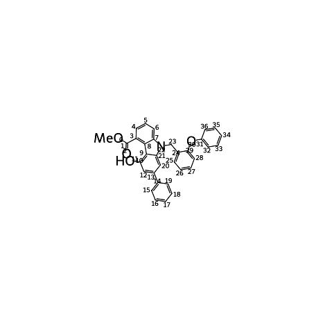 COC(=O)c1cccc2c1c1c(O)cc(-c3ccccc3)cc1n2Cc1ccccc1Oc1ccccc1